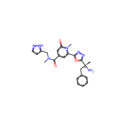 CN(Cc1ccn[nH]1)C(=O)c1cc(-c2nnc([C@](C)(N)Cc3ccccc3)o2)n(C)c(=O)c1